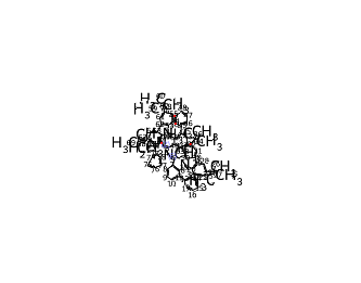 C=C(/N=C(\N=C(/C)c1cccc(-c2ccccc2)c1-n1c2ccc(C(C)(C)C)cc2c2cc(C(C)(C)C)ccc21)C1=CCCC(c2ccccc2)=C1n1c2ccc(C(C)(C)C)cc2c2cc(C(C)(C)C)ccc21)c1ccccc1